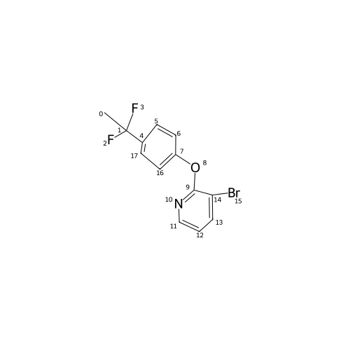 CC(F)(F)c1ccc(Oc2ncccc2Br)cc1